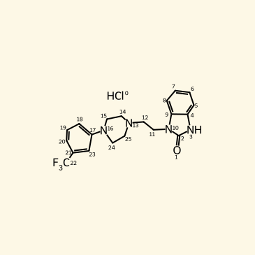 Cl.O=c1[nH]c2ccccc2n1CCN1CCN(c2cccc(C(F)(F)F)c2)CC1